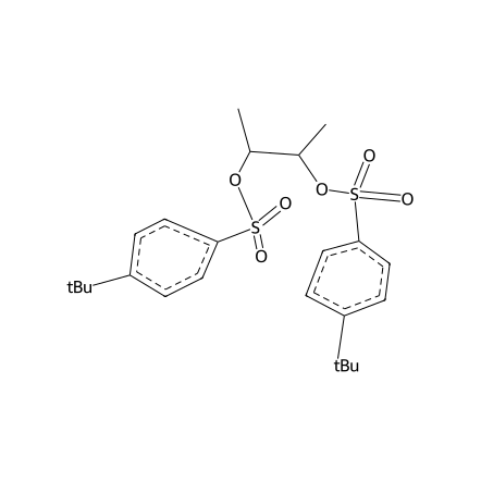 CC(OS(=O)(=O)c1ccc(C(C)(C)C)cc1)C(C)OS(=O)(=O)c1ccc(C(C)(C)C)cc1